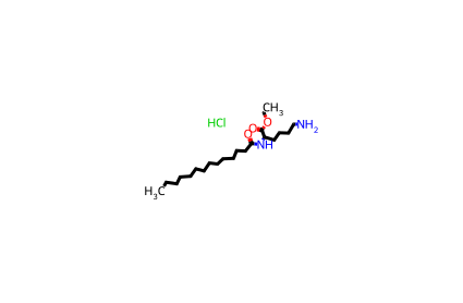 CCCCCCCCCCCCCC(=O)NC(CCCCN)C(=O)OCC.Cl